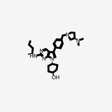 CCC[C@H](C)Nc1ncc2c(-c3ccc(CN4CC[C@@H](N(C)C)C4)cc3)cn([C@H]3CC[C@H](O)CC3)c2n1